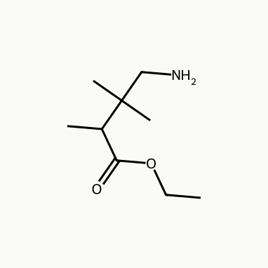 CCOC(=O)C(C)C(C)(C)CN